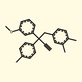 C#CC(Cc1ccc(C)c(C)c1)(c1ccc([CH2])cc1)c1cccc(OC)c1